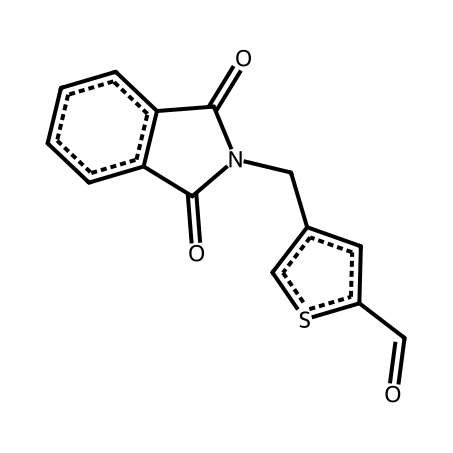 O=Cc1cc(CN2C(=O)c3ccccc3C2=O)cs1